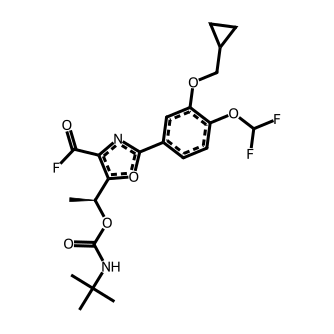 C[C@H](OC(=O)NC(C)(C)C)c1oc(-c2ccc(OC(F)F)c(OCC3CC3)c2)nc1C(=O)F